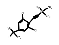 C[Si](C)(C)C#Cc1c(Cl)cc(C(F)(C(F)(F)F)C(F)(F)F)cc1Cl